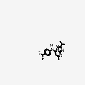 Cc1cc(Nc2ccc(C(F)F)cc2)n2nc(C(C)C)nc2n1